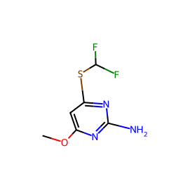 COc1cc(SC(F)F)nc(N)n1